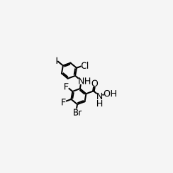 O=C(NO)c1cc(Br)c(F)c(F)c1Nc1ccc(I)cc1Cl